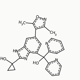 Cc1noc(C)c1-c1cc(C(O)(c2ccccn2)c2ccccn2)c2nc(C3(O)CC3)[nH]c2c1